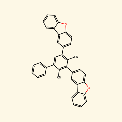 N#Cc1c(-c2ccccc2)cc(-c2ccc3oc4ccccc4c3c2)c(C#N)c1-c1ccc2oc3ccccc3c2c1